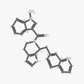 Cn1cc(C(=O)N2CCc3ccsc3C2Cc2ccc3cccnc3c2)c2ccccc21